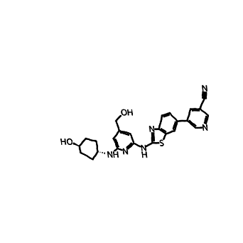 N#Cc1cncc(-c2ccc3nc(Nc4cc(CO)cc(N[C@H]5CC[C@H](O)CC5)n4)sc3c2)c1